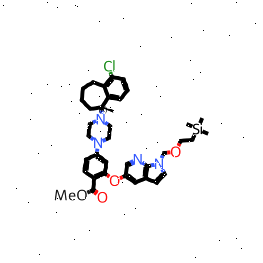 COC(=O)c1ccc(N2CCN([C@]3(C)CCCCc4c(Cl)cccc43)CC2)cc1Oc1cnc2c(ccn2COCC[Si](C)(C)C)c1